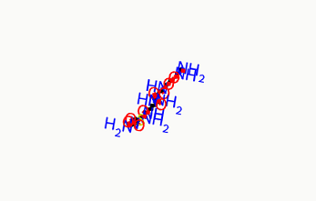 CC(C)(N)NCCOCCOCCNC(=O)CCC(=O)C(C)(C)NC(CCCCNC(=O)C(N)CSC1CC(=O)N(CC(N)=O)C1=O)C(N)=O